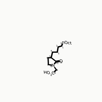 CCCCCCCCCCCCC1CCN(CC(=O)O)C1=O